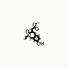 CCN1Cc2cc(O)ccc2CC(CC(=O)OC)C1=O